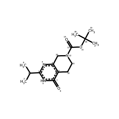 CC(C)c1nc2c(c(=O)[nH]1)CCN(C(=O)OC(C)(C)C)C2